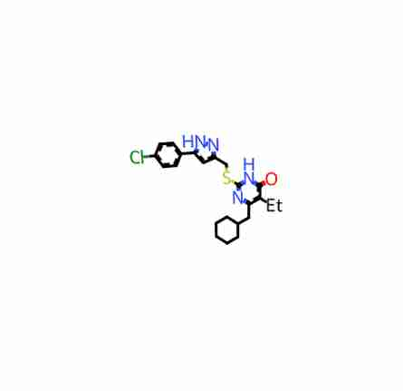 CCc1c(CC2CCCCC2)nc(SCc2cc(-c3ccc(Cl)cc3)[nH]n2)[nH]c1=O